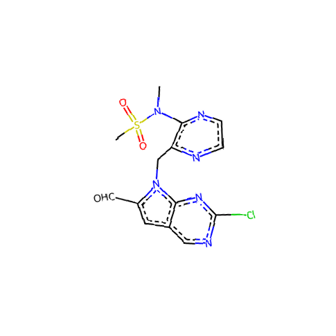 CN(c1nccnc1Cn1c(C=O)cc2cnc(Cl)nc21)S(C)(=O)=O